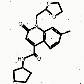 Cc1ccc2c(C(=O)NC3CCCC3)cc(=O)n(CC3OCCO3)c2c1